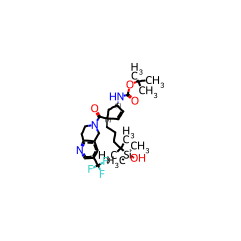 CC(C)(C)OC(=O)N[C@@H]1C=C[C@](CCCC(C)(C)[Si](C)(C)O)(C(=O)N2CCc3ncc(C(F)(F)F)cc3C2)C1